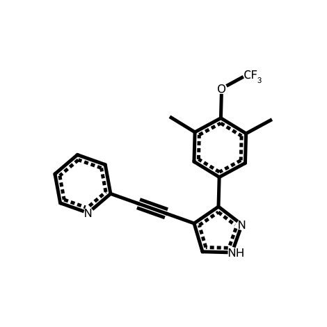 Cc1cc(-c2n[nH]cc2C#Cc2ccccn2)cc(C)c1OC(F)(F)F